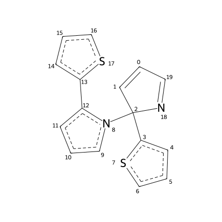 C1=CC(c2cccs2)(n2cccc2-c2cccs2)N=C1